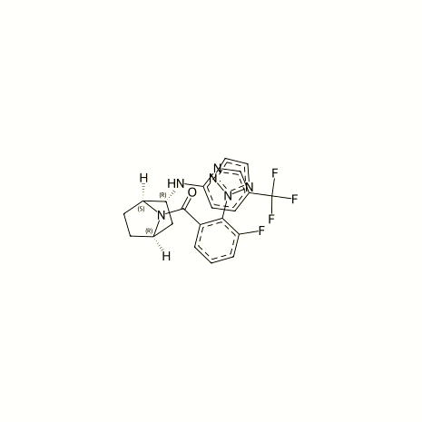 O=C(c1cccc(F)c1-n1nccn1)N1[C@@H]2CC[C@H]1[C@H](Nc1ccc(C(F)(F)F)cn1)C2